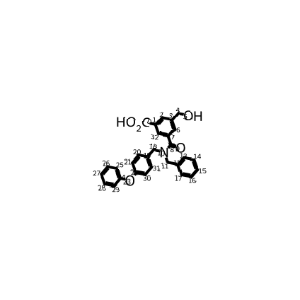 O=C(O)c1cc(CO)cc(C(=O)N(Cc2ccccc2)Cc2ccc(Oc3ccccc3)cc2)c1